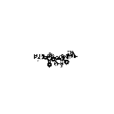 CCCCC1(CCCC)CN(c2ccccc2)c2cc(SC)c(OCC(=O)N[C@@H](C(=O)NC[C@@H](C)CC(=O)O)c3ccccc3)cc2S(=O)(=O)N1